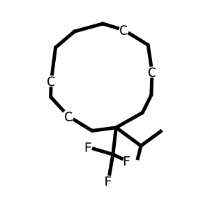 CC(C)C1(C(F)(F)F)CCCCCCCCCCCC1